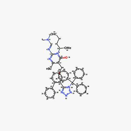 CCCCc1nc(N=CN(C)C)n(C(CCC=O)OC)c(=O)c1Cc1ccc(-c2ccccc2)c(-c2nnnn2C(c2ccccc2)(c2ccccc2)c2ccccc2)c1